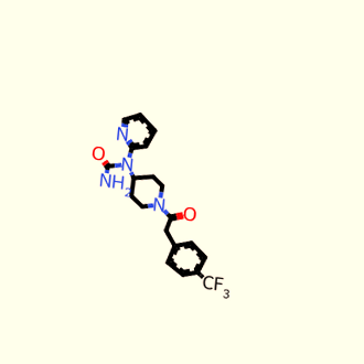 NC(=O)N(c1ccccn1)C1CCN(C(=O)Cc2ccc(C(F)(F)F)cc2)CC1